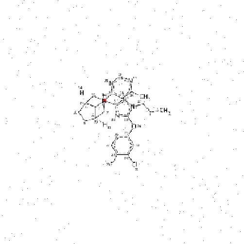 CCCn1nc(NC2[C@@H]3CC[C@H]2CN(c2cc(C)ncn2)C3)nc1Oc1ccc(F)c(Cl)c1